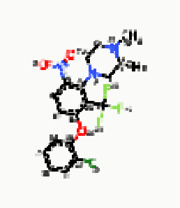 [2H][C@@H]1CN(c2c([N+](=O)[O-])ccc(Oc3ccccc3Cl)c2C(F)(F)F)CCN1C